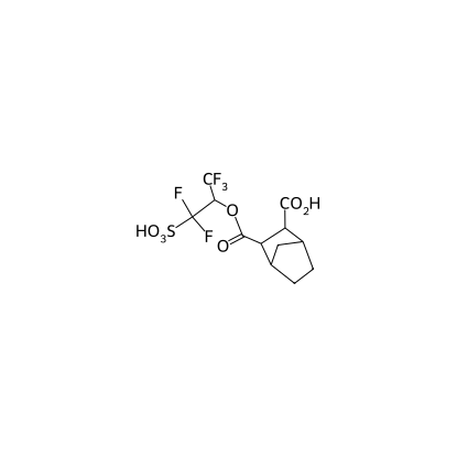 O=C(O)C1C2CCC(C2)C1C(=O)OC(C(F)(F)F)C(F)(F)S(=O)(=O)O